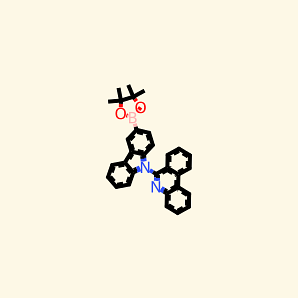 CC1(C)OB(c2ccc3c(c2)c2ccccc2n3-c2nc3ccccc3c3ccccc23)OC1(C)C